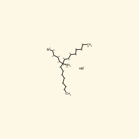 Br.CCCCCCCCC(N)(CCCCBr)CCCCCCCC